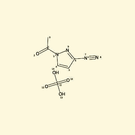 CC(=O)n1ccc([N+]#N)n1.O=S(=O)(O)O